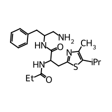 CCC(=O)NC(Cc1nc(C)c(C(C)C)s1)C(=O)NC(CN)Cc1ccccc1